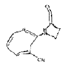 N#Cc1cccnc1N1CCC1=O